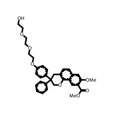 COC(=O)c1cc2c3c(ccc2cc1OC)CC(c1ccccc1)(c1ccc(OCCOCCOCCO)cc1)CO3